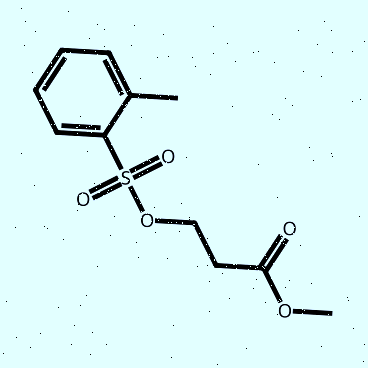 COC(=O)CCOS(=O)(=O)c1ccccc1C